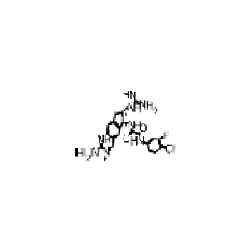 CN(Cc1ccc2c(c1)[C@H](NC(=O)C(=O)Nc1ccc(Cl)c(F)c1)[C@@H](CNC(=N)N)C2)C(=N)N